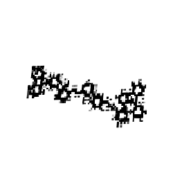 c1ccc(-n2c3ccccc3c3ccc4c(c5ccccc5n4CCc4ccc5oc6c(CCc7cccc8c7oc7ccc(-n9c%10ccncc%10c%10cnccc%109)cc78)cccc6c5c4)c32)cc1